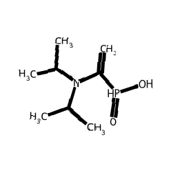 C=C(N(C(C)C)C(C)C)[PH](=O)O